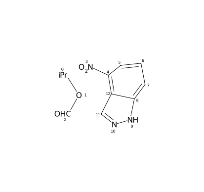 CC(C)OC=O.O=[N+]([O-])c1cccc2[nH]ncc12